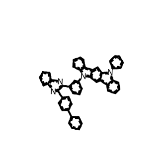 c1ccc(-c2ccc(-c3nc4ccccc4nc3-c3cccc(-n4c5ccccc5c5cc6c(cc54)c4ccccc4n6-c4ccccc4)c3)cc2)cc1